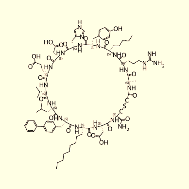 CCCCCCCCC[C@@H]1NC(=O)[C@H](Cc2ccc(-c3ccccc3)cc2)NC(=O)[C@H](CC(C)C)NC(=O)[C@H](C(C)C)NC(=O)[C@H](CCC(=O)O)NC(=O)[C@H](CC(=O)O)NC(=O)[C@H](Cc2c[nH]cn2)NC(=O)[C@H](Cc2ccc(O)cc2)NC(=O)[C@H](CCCCC)NC(=O)[C@H](CCCNC(=N)N)NC(=O)[C@H](C)NC(=O)CSC[C@@H](C(N)=O)NC(=O)[C@H](CC(=O)O)NC1=O